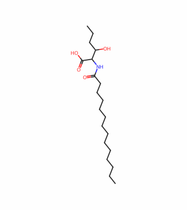 CCCCCCCCCCCCCC(=O)NC(C(=O)O)C(O)CCC